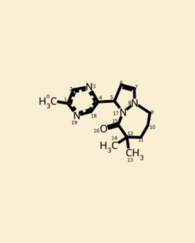 Cc1cnc(C2C=CN3CCCC(C)(C)C(=O)N23)cn1